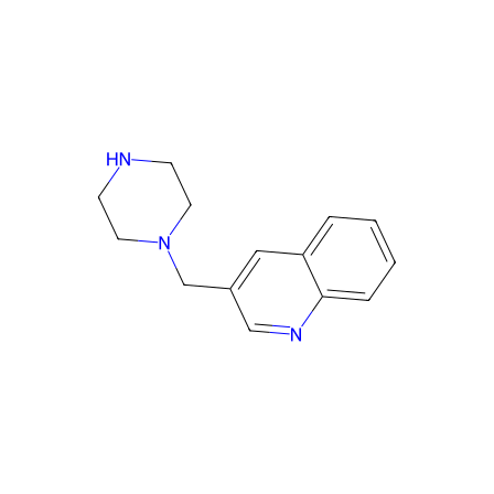 c1ccc2ncc(CN3CCNCC3)cc2c1